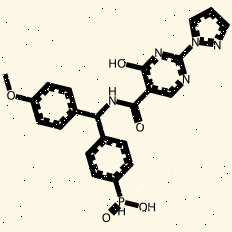 COc1ccc(C(NC(=O)c2cnc(-n3cccn3)nc2O)c2ccc([PH](=O)O)cc2)cc1